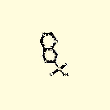 NS(=O)(=O)c1cc2ncncc2cn1